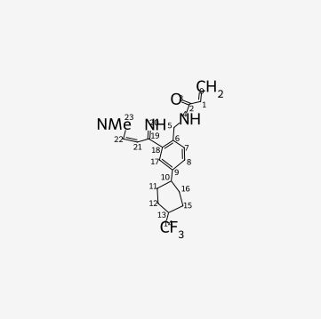 C=CC(=O)NCc1ccc(C2CCC(C(F)(F)F)CC2)cc1C(=N)/C=C\NC